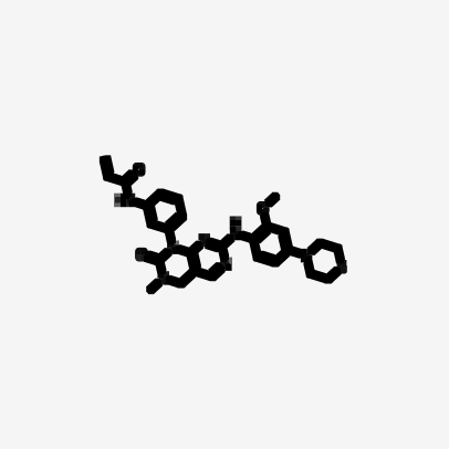 C=CC(=O)Nc1cccc(N2C(=O)N(C)Cc3cnc(Nc4ccc(N5CCSCC5)cc4OC)nc32)c1